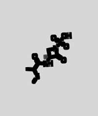 CSC(C)C(=O)N[C@H]1CN(S(=O)(=O)O)C1=O